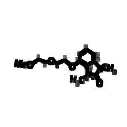 COCCOCCOc1cccc2c1n(C)c(=O)n2C